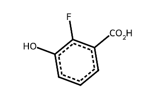 O=C(O)c1cccc(O)c1F